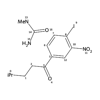 CC(C)CCC(=O)c1ccc(I)c([N+](=O)[O-])c1.CNC(N)=O